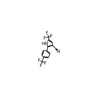 N#Cc1cc(C(F)(F)F)[nH]c1-c1ccc(C(F)(F)F)cc1